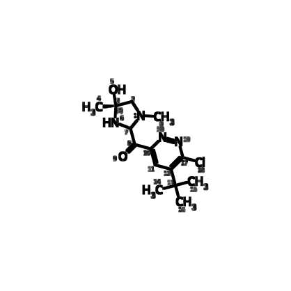 CN1C[C@@](C)(O)NC1C(=O)c1cc(C(C)(C)C)c(Cl)nn1